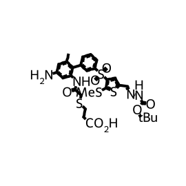 CSc1sc(C=NNC(=O)OC(C)(C)C)cc1S(=O)(=O)c1cccc(-c2c(C)cc(N)cc2NC(=O)CSCCC(=O)O)c1